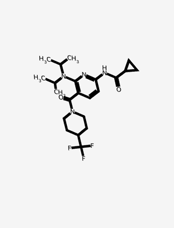 CC(C)N(c1nc(NC(=O)C2CC2)ccc1C(=O)N1CCC(C(F)(F)F)CC1)C(C)C